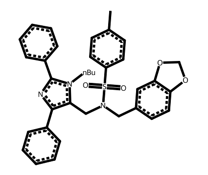 CCCCn1c(-c2ccccc2)nc(-c2ccccc2)c1CN(Cc1ccc2c(c1)OCO2)S(=O)(=O)c1ccc(C)cc1